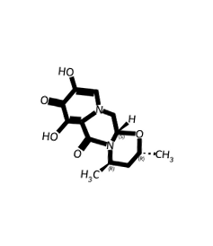 C[C@@H]1C[C@@H](C)N2C(=O)c3c(O)c(=O)c(O)cn3C[C@@H]2O1